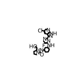 O=C(N[C@@H]1CCC[C@H](Nc2nc(-c3n[nH]c4ncc(Cl)cc34)ncc2F)C1)N1CCCC1CO